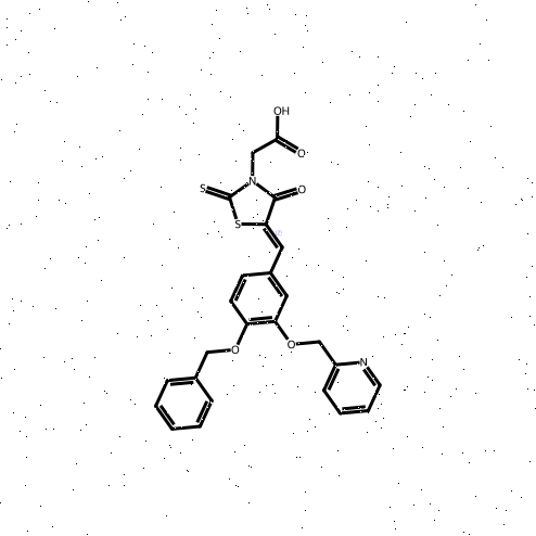 O=C(O)CN1C(=O)/C(=C/c2ccc(OCc3ccccc3)c(OCc3ccccn3)c2)SC1=S